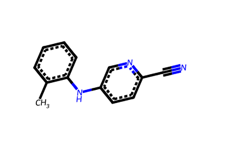 Cc1ccccc1Nc1ccc(C#N)nc1